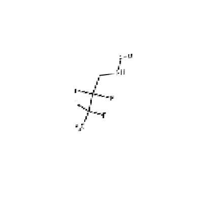 O=CNCC(F)(F)C(F)(F)C(F)(F)F